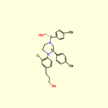 N#Cc1ccc([C@@H](CO)N2CCN(c3ccc(CCCO)cc3Cl)[C@H](c3ccc(C#N)cc3)C2)cc1